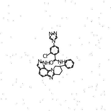 O=C(N[C@]1(c2ccccc2)CCc2nc3ccc4cn[nH]c4c3n2C1)c1ccc(-n2cnnc2)cc1Cl